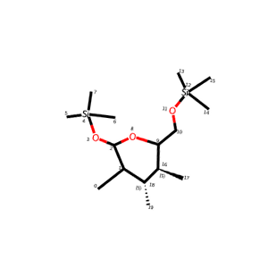 CC1C(O[Si](C)(C)C)OC(CO[Si](C)(C)C)[C@@H](C)[C@@H]1C